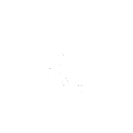 C=C(/C=C\CC)Cc1nc(-c2ccc(/C(=C/C)C(=C)OC(C)(C)P)o2)[nH]c1C